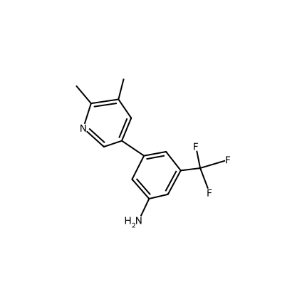 Cc1cc(-c2cc(N)cc(C(F)(F)F)c2)cnc1C